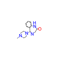 CN1CCN(C2=NCC(=O)Nc3ccccc32)CC1